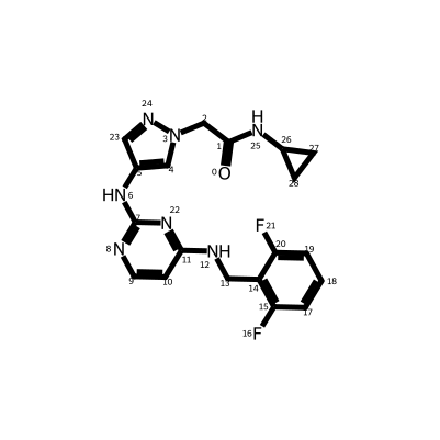 O=C(Cn1cc(Nc2nccc(NCc3c(F)cccc3F)n2)cn1)NC1CC1